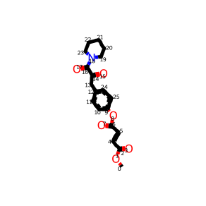 COC(=O)/C=C/C(=O)Oc1ccc(CC(=O)C(=O)N2CCCCC2)cc1